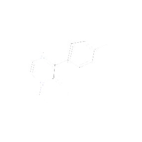 O=C(O)n1ccnc(-c2ccc(F)cc2)c1=O